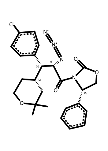 CC1(C)C[C@@H]([C@H](c2ccc(Cl)cc2)[C@H](N=[N+]=[N-])C(=O)N2C(=O)OC[C@@H]2c2ccccc2)CCO1